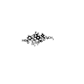 CCOC(=O)C1(Sc2cc(C(F)(F)F)c(C(=O)N(C(C)C)[C@@H]3CCCN(C(=O)O)C3)cc2[N+](=O)[O-])CCC1